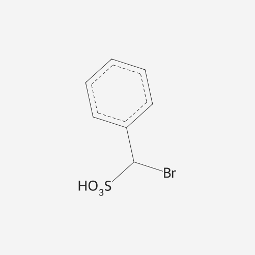 O=S(=O)(O)C(Br)c1ccccc1